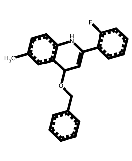 Cc1ccc2c(c1)C(OCc1ccccc1)C=C(c1ccccc1F)N2